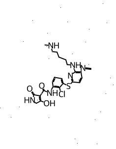 C=Nc1ccc(Sc2cccc(NC(=O)C3=C(O)CNC3=O)c2Cl)nc1NCCCCCNC